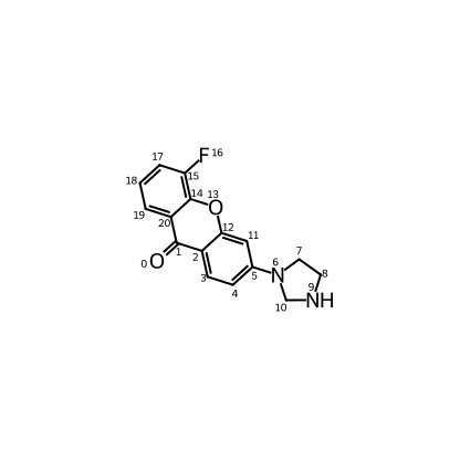 O=c1c2ccc(N3CCNC3)cc2oc2c(F)cccc12